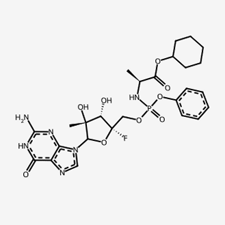 C[C@H](NP(=O)(OC[C@@]1(F)OC(n2cnc3c(=O)[nH]c(N)nc32)[C@](C)(O)[C@@H]1O)Oc1ccccc1)C(=O)OC1CCCCC1